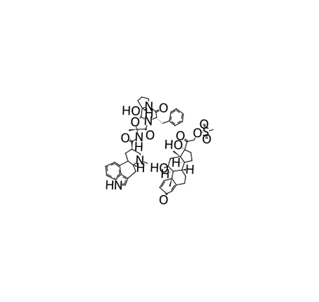 CN1C[C@H](C(=O)N[C@]2(C)O[C@@]3(O)[C@@H]4CCCN4C(=O)[C@H](Cc4ccccc4)N3C2=O)CC2c3cccc4[nH]cc(c34)C[C@H]21.C[C@]12C=CC(=O)C=C1CC[C@@H]1[C@@H]2C(O)C[C@@]2(C)[C@H]1CC[C@]2(O)C(=O)COS(C)(=O)=O